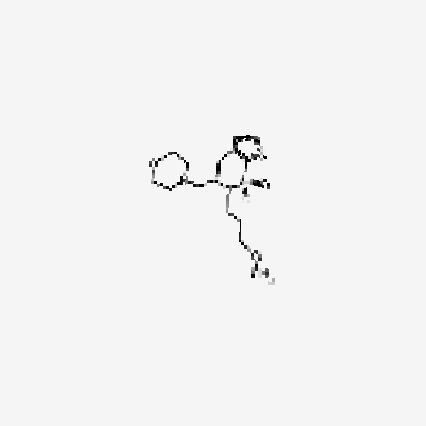 COCCCN1C(CN2CCOCC2)=Cc2ccsc2S1(=O)=O